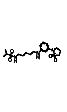 CC(C)S(=O)(=O)NCCCCCNc1cccc(N2CCCS2(=O)=O)c1